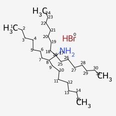 Br.CCCCCCCC(CCCCCCC)C(N)(CCCCCCC)CCCCCCC